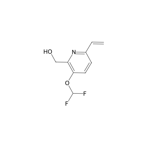 C=Cc1ccc(OC(F)F)c(CO)n1